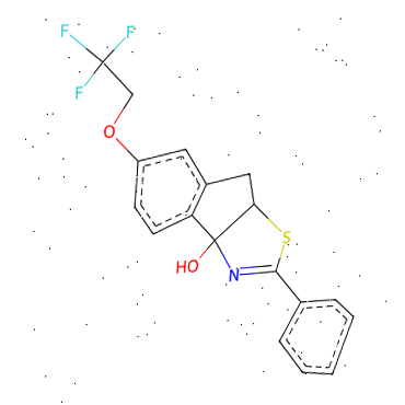 OC12N=C(c3ccccc3)SC1Cc1cc(OCC(F)(F)F)ccc12